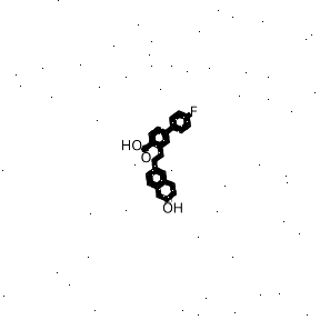 O=C(O)c1ccc(-c2ccc(F)cc2)cc1CCc1ccc2c(c1)CC[C@@H](O)C2